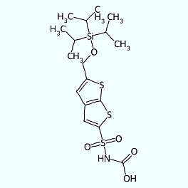 CC(C)[Si](OCc1cc2cc(S(=O)(=O)NC(=O)O)sc2s1)(C(C)C)C(C)C